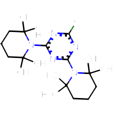 CC1(C)CCCC(C)(C)N1c1nc(Cl)nc(N2C(C)(C)CCCC2(C)C)n1